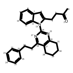 CC(=O)CCc1cc2ccccc2n1-c1nc2c(c(CCc3ccccc3)n1)CCCC2